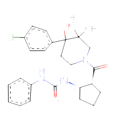 CC1(C)CN(C(=O)[C@H]2CCC[C@H]2NC(=O)Nc2ccccc2)CCC1(O)c1ccc(Cl)cc1